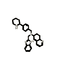 C1=CC2=CC(N(Cc3ccc(C4CCCCN4)cc3)Cc3nc4ccccc4[nH]3)CCC2N=C1